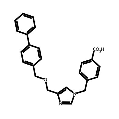 O=C(O)c1ccc(Cn2cnc(COCc3ccc(-c4ccccc4)cc3)c2)cc1